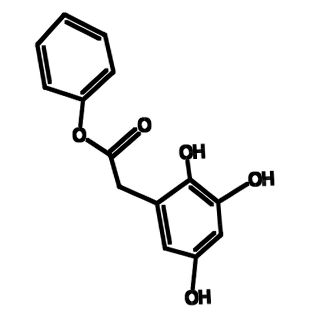 O=C(Cc1cc(O)cc(O)c1O)Oc1ccccc1